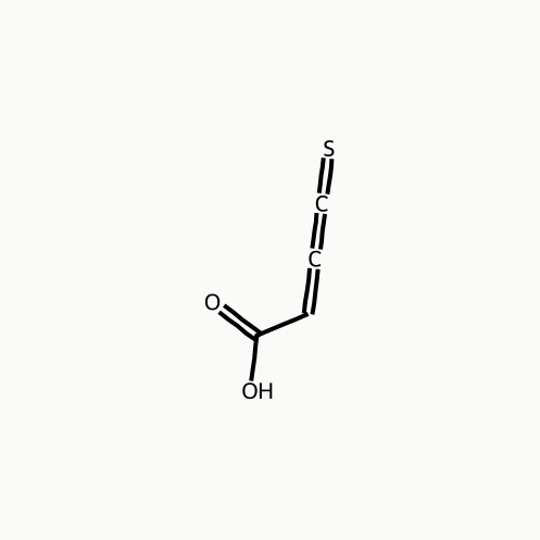 O=C(O)C=C=C=S